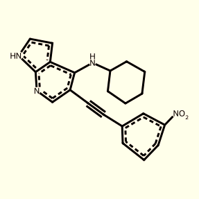 O=[N+]([O-])c1cccc(C#Cc2cnc3[nH]ccc3c2NC2CCCCC2)c1